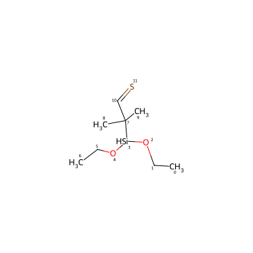 CCO[SiH](OCC)C(C)(C)C=S